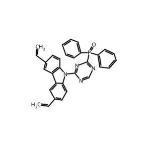 C=Cc1ccc2c(c1)c1cc(C=C)ccc1n2-c1ncnc(P(=O)(c2ccccc2)c2ccccc2)n1